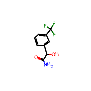 NC(=O)C(O)c1cccc(C(F)(F)F)c1